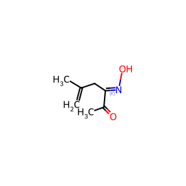 C=C(C)C/C(=N\O)C(C)=O